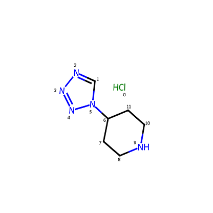 Cl.c1nnnn1C1CCNCC1